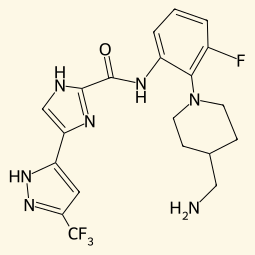 NCC1CCN(c2c(F)cccc2NC(=O)c2nc(-c3cc(C(F)(F)F)n[nH]3)c[nH]2)CC1